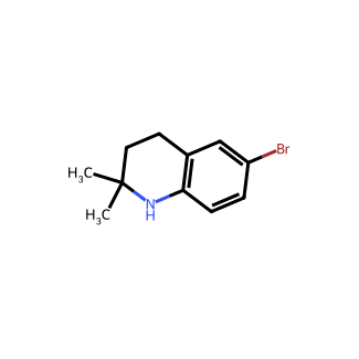 CC1(C)CCc2cc(Br)ccc2N1